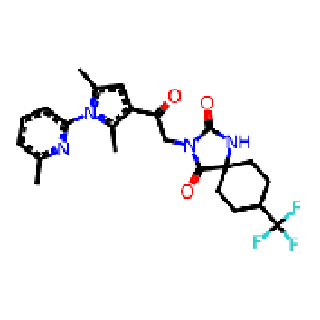 Cc1cccc(-n2c(C)cc(C(=O)CN3C(=O)NC4(CCC(C(F)(F)F)CC4)C3=O)c2C)n1